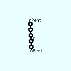 CCCCCc1ccc(C2CCC(C3CC=C(c4ccc(C5CCC(CCCCC)CC5)cc4F)CC3)CC2)cc1